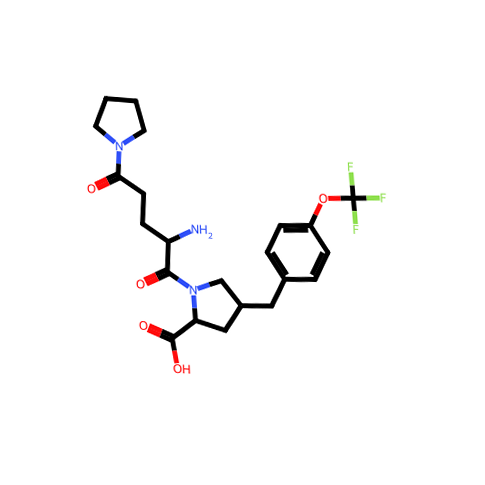 NC(CCC(=O)N1CCCC1)C(=O)N1CC(Cc2ccc(OC(F)(F)F)cc2)CC1C(=O)O